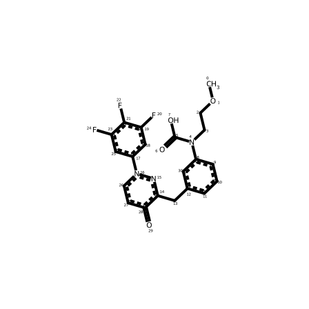 COCCN(C(=O)O)c1cccc(Cc2nn(-c3cc(F)c(F)c(F)c3)ccc2=O)c1